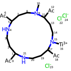 CC(=O)C1CCNC(C(C)=O)CCN(C)C(C(C)=O)CC[N]([Ti+3])C(C(C)=O)CCN1.[Cl-].[Cl-].[Cl-]